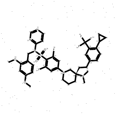 COc1ccc(CN(c2ccncn2)S(=O)(=O)c2c(F)cc(N3CCC[C@@](CCc4ccc(C5CC5)c(C(F)(F)F)c4)(N(C)C)C3)cc2F)c(OC)c1